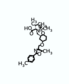 Cc1ccc(-c2nc(CO[C@@H]3CCC[C@H](CN([C@H](C(=O)O)C(C)C)S(C)(=O)=O)C3)c(C)o2)cc1